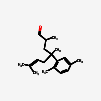 CC(C)=CCC(C)(CC(C)C=O)c1cc(C)ccc1C